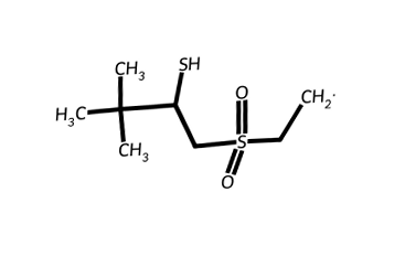 [CH2]CS(=O)(=O)CC(S)C(C)(C)C